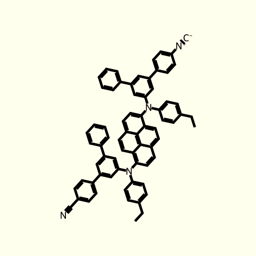 [C-]#[N+]c1ccc(-c2cc(-c3ccccc3)cc(N(c3ccc(CC)cc3)c3ccc4ccc5c(N(c6ccc(CC)cc6)c6cc(-c7ccccc7)cc(-c7ccc(C#N)cc7)c6)ccc6ccc3c4c65)c2)cc1